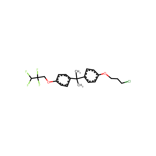 CC(C)(c1ccc(OCCCCl)cc1)c1ccc(OCC(F)(F)C(F)F)cc1